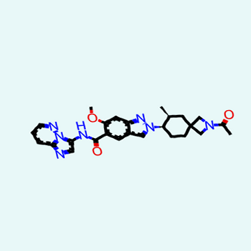 COc1cc2nn([C@@H]3CCC4(C[C@@H]3C)CN(C(C)=O)C4)cc2cc1C(=O)Nc1cnc2cccnn12